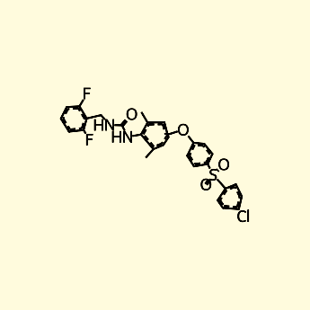 Cc1cc(Oc2ccc(S(=O)(=O)c3ccc(Cl)cc3)cc2)cc(C)c1NC(=O)NCc1c(F)cccc1F